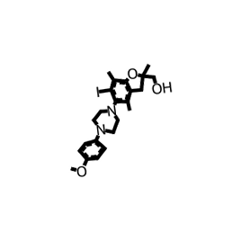 COc1ccc(N2CCN(c3c(C)c4c(c(C)c3I)OC(C)(CO)C4)CC2)cc1